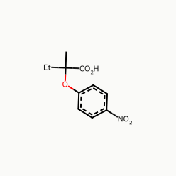 CCC(C)(Oc1ccc([N+](=O)[O-])cc1)C(=O)O